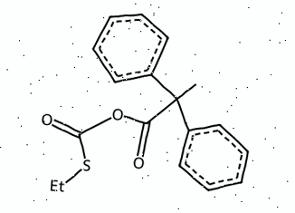 CCSC(=O)OC(=O)C(C)(c1ccccc1)c1ccccc1